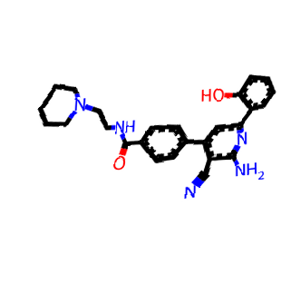 N#Cc1c(-c2ccc(C(=O)NCCN3CCCCC3)cc2)cc(-c2ccccc2O)nc1N